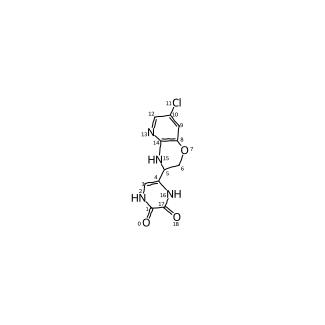 O=c1[nH]cc(C2COc3cc(Cl)cnc3N2)[nH]c1=O